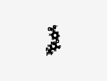 O=[N+]([O-])c1[c]cc(Oc2ncc(C(F)(F)F)cc2F)cc1